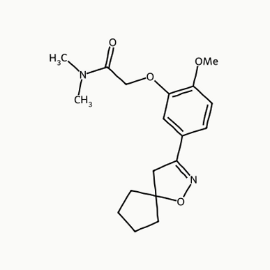 COc1ccc(C2=NOC3(CCCC3)C2)cc1OCC(=O)N(C)C